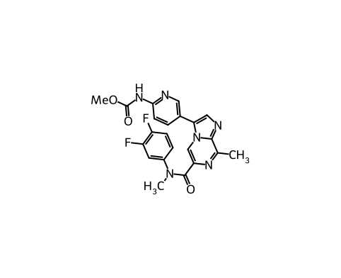 COC(=O)Nc1ccc(-c2cnc3c(C)nc(C(=O)N(C)c4ccc(F)c(F)c4)cn23)cn1